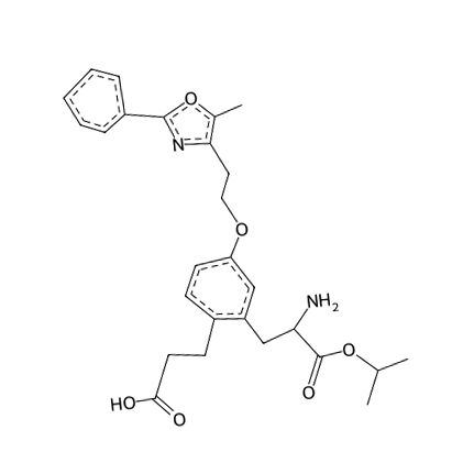 Cc1oc(-c2ccccc2)nc1CCOc1ccc(CCC(=O)O)c(CC(N)C(=O)OC(C)C)c1